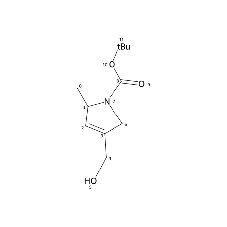 CC1C=C(CO)CN1C(=O)OC(C)(C)C